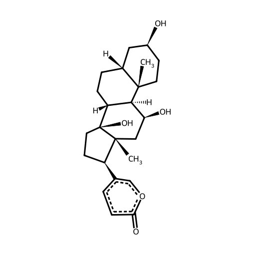 C[C@]12CC[C@H](O)C[C@H]1CC[C@@H]1[C@@H]2[C@@H](O)C[C@]2(C)[C@@H](c3ccc(=O)oc3)CC[C@]12O